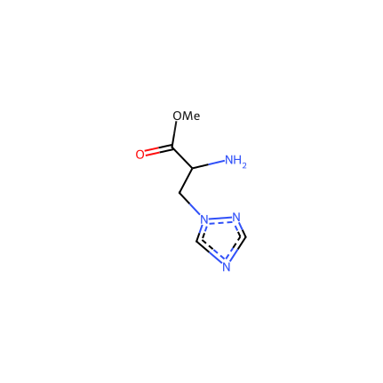 COC(=O)C(N)Cn1cncn1